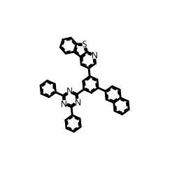 c1ccc(-c2nc(-c3ccccc3)nc(-c3cc(-c4ccc5ccccc5c4)cc(-c4cnc5sc6ccccc6c5c4)c3)n2)cc1